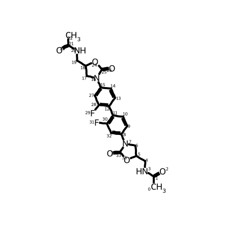 CC(=O)NCC1CN(c2ccc(-c3ccc(N4CC(CNC(C)=O)OC4=O)cc3F)c(F)c2)C(=O)O1